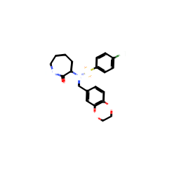 O=C1NCCCCC1N(Cc1ccc2c(c1)OCCO2)S(=O)(=O)c1ccc(Cl)cc1